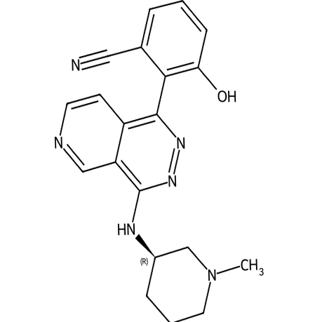 CN1CCC[C@@H](Nc2nnc(-c3c(O)cccc3C#N)c3ccncc23)C1